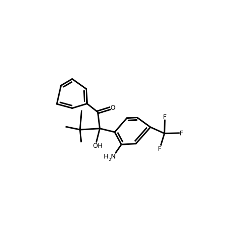 CC(C)(C)C(O)(C(=O)c1ccccc1)c1ccc(C(F)(F)F)cc1N